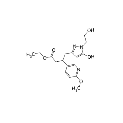 CCOC(=O)CC(Cc1cc(O)n(CCO)n1)c1ccc(OC)nc1